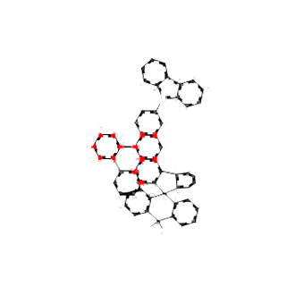 CC1(C)c2ccccc2C2(c3ccccc3-c3cc(N(c4ccc(-n5c6ccccc6c6ccccc65)cc4)c4ccccc4-c4ccccc4-c4ccccc4-c4ccccc4)ccc32)c2ccccc21